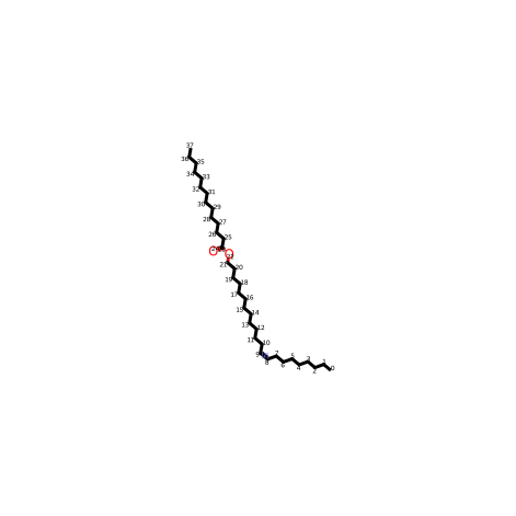 CCCCCCCC/C=C\CCCCCCCCCCCCOC(=O)CCCCCCCCCCCCC